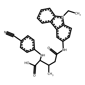 CCn1c2ccccc2c2cc(NC(=O)CC(C)C(Nc3ccc(C#N)cc3)C(=O)O)ccc21